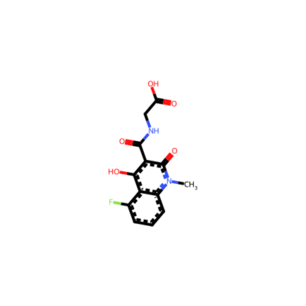 Cn1c(=O)c(C(=O)NCC(=O)O)c(O)c2c(F)cccc21